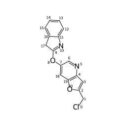 ClCc1cc2ncc(OC3=Nc4ccccc4C3)cc2o1